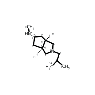 CN[C@H]1C[C@@H]2CN(C[C](C)C)C[C@@H]2C1